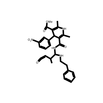 COC(=O)C1=C(C)NC(C)=C(C(=O)NC(NCCc2ccccc2)C(C)C=C=O)C1c1cccc([N+](=O)[O-])c1